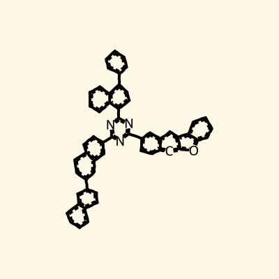 c1ccc(-c2ccc(-c3nc(-c4ccc5ccc(-c6ccc7ccccc7c6)cc5c4)nc(-c4ccc5cc6oc7ccccc7c6cc5c4)n3)c3ccccc23)cc1